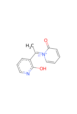 C/C(c1cccnc1O)=[N+]1/C=CC=CC1=O